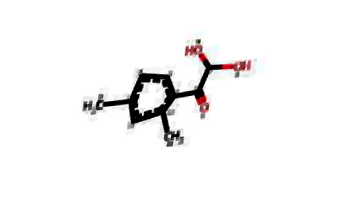 Cc1ccc(C(=O)C(O)O)c(C)c1